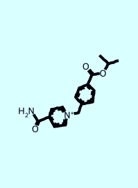 CC(C)OC(=O)c1ccc(C[n+]2ccc(C(N)=O)cc2)cc1